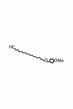 C#CCCCCCCCCCCCCCCCCCOCc1ccc(OC)cc1